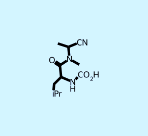 CC(C)CC(NC(=O)O)C(=O)N(C)C(C)C#N